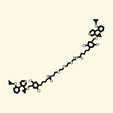 O=C(CCCCc1cc(Cl)c(COC2(c3cnccc3-c3ccccc3OC3CC3)CC2)cc1Cl)NCCOCCOCCOCCNC(=O)CCCCc1cc(Cl)c(COC2(c3cnccc3-c3ccccc3OC3CC3)CC2)cc1Cl